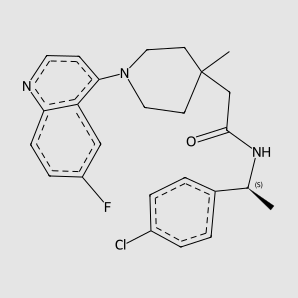 C[C@H](NC(=O)CC1(C)CCN(c2ccnc3ccc(F)cc23)CC1)c1ccc(Cl)cc1